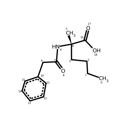 CCCC[C@](C)(NC(=O)Cc1ccccc1)C(=O)O